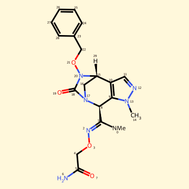 CN/C(=N\OCC(N)=O)[C@@H]1c2c(cnn2C)[C@@H]2CN1C(=O)N2OCc1ccccc1